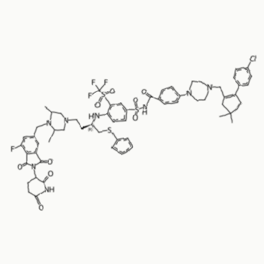 CC1CN(CC[C@H](CSc2ccccc2)Nc2ccc(S(=O)(=O)NC(=O)c3ccc(N4CCN(CC5=C(c6ccc(Cl)cc6)CCC(C)(C)C5)CC4)cc3)cc2S(=O)(=O)C(F)(F)F)CC(C)N1Cc1cc(F)c2c(c1)C(=O)N(C1CCC(=O)NC1=O)C2=O